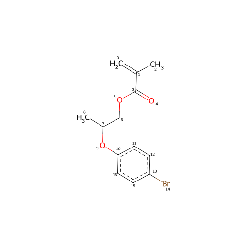 C=C(C)C(=O)OCC(C)Oc1ccc(Br)cc1